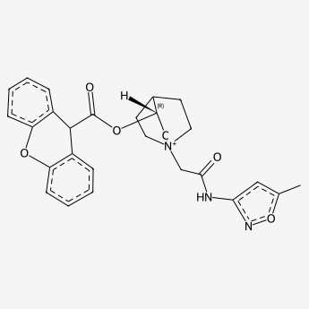 Cc1cc(NC(=O)C[N+]23CCC(CC2)[C@@H](OC(=O)C2c4ccccc4Oc4ccccc42)C3)no1